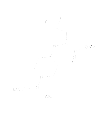 CCCCN(C(=O)OCC)N1CCC(N2CC(F)(F)C[C@@H]2C(=O)OC)CC1